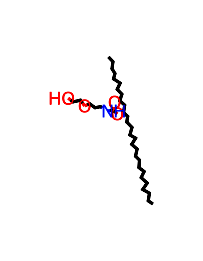 CCCCCCCCCCCCCCCCCC(CCCCCCCCCC)OC(=O)NCCCOCCO